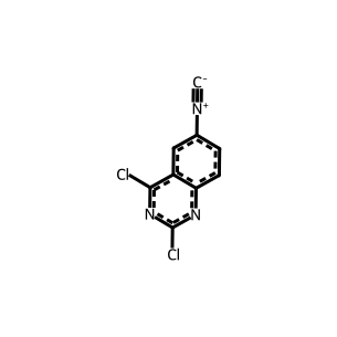 [C-]#[N+]c1ccc2nc(Cl)nc(Cl)c2c1